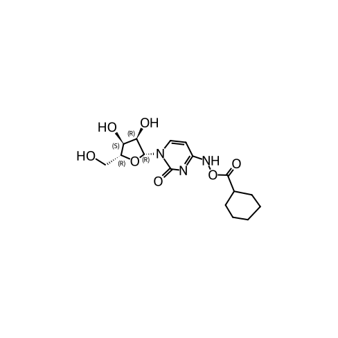 O=C(ONc1ccn([C@@H]2O[C@H](CO)[C@@H](O)[C@H]2O)c(=O)n1)C1CCCCC1